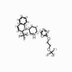 FC(F)(F)OCCOc1nnc([C@H]2CC[C@H](N3c4ccccc4C=CC3C(F)(F)F)CN2)o1